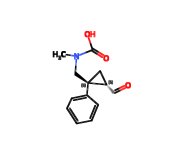 CN(C[C@@]1(c2ccccc2)C[C@@H]1C=O)C(=O)O